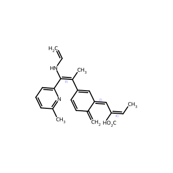 C=CN/C(=C(\C)c1ccc(=C)/c(=C\C(=C/C)C(=O)O)c1)c1cccc(C)n1